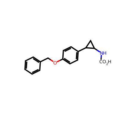 O=C(O)NC1CC1c1ccc(OCc2ccccc2)cc1